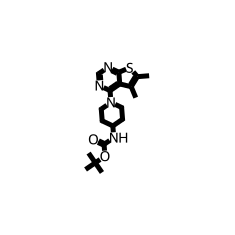 Cc1sc2ncnc(N3CCC(NC(=O)OC(C)(C)C)CC3)c2c1C